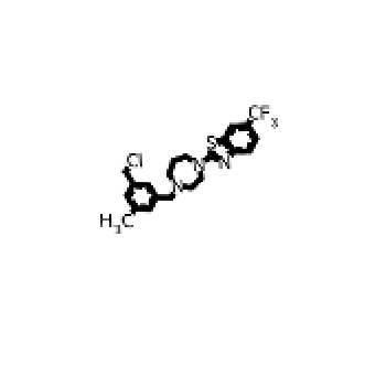 Cc1cc(CCl)cc(CN2CCCN(c3nc4ccc(C(F)(F)F)cc4s3)CC2)c1